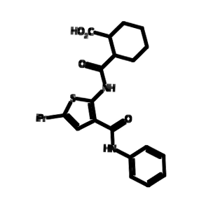 CC(C)c1cc(C(=O)Nc2ccccc2)c(NC(=O)C2CCCCC2C(=O)O)s1